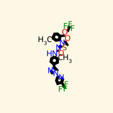 Cc1ccc(COCC(F)(F)F)c(N2C(=O)CS/C2=N\C(=O)Nc2ccc(-c3cn(-c4ccc(C(F)(F)F)cn4)cn3)cc2C)c1